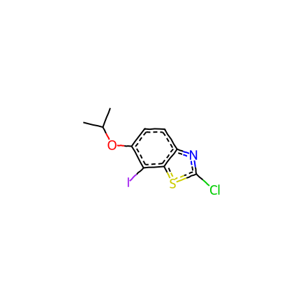 CC(C)Oc1ccc2nc(Cl)sc2c1I